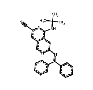 CC(C)(C)Nc1nc(C#N)cc2cnc(N=C(c3ccccc3)c3ccccc3)cc12